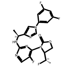 C[C@H](Nc1ncc(F)c(N2C(=O)OCC2[C@H](C)F)n1)c1cn(-c2cc(F)cc(F)c2)cn1